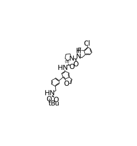 CC(C)(C)OC(=O)NCc1cccc(-c2cc(NC(=O)[C@@H]3CCCN3C(=O)NCc3cccc(Cl)c3F)cc3ccoc23)c1